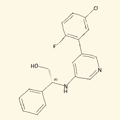 OC[C@H](Nc1cncc(-c2cc(Cl)ccc2F)c1)c1ccccc1